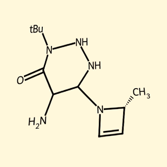 C[C@@H]1C=CN1C1NNN(C(C)(C)C)C(=O)C1N